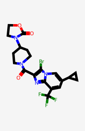 O=C(c1nc2c(C(F)(F)F)cc(C3CC3)cn2c1Br)N1CCC(N2CCOC2=O)CC1